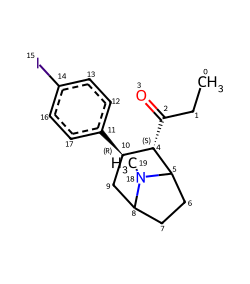 CCC(=O)[C@@H]1C2CCC(C[C@H]1c1ccc(I)cc1)N2C